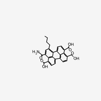 CCCCc1cc(C(N)=O)c2c(C(=O)O)ccc3c4ccc(C(=O)O)c5c(C(=O)O)ccc(c1c23)c54